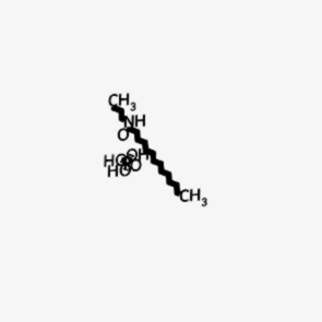 CCCCCCCCCCCCCC(=O)NCCCC.O=P(O)(O)O